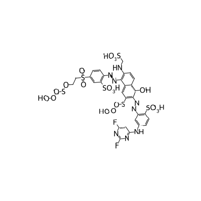 O=S(=O)(O)CNc1ccc2c(O)c(/N=N/c3cc(Nc4cc(F)nc(F)n4)ccc3S(=O)(=O)O)c(SOOO)cc2c1/N=N/c1ccc(S(=O)(=O)CCOSOOO)cc1S(=O)(=O)O